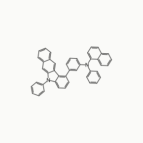 c1ccc(N(c2cccc(-c3cccc4c3c3cc5ccccc5cc3n4-c3ccccc3)c2)c2cccc3ccccc23)cc1